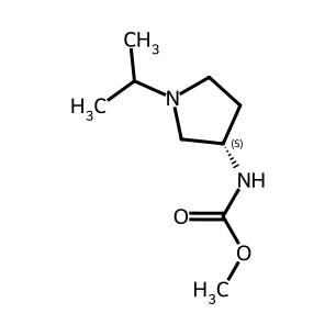 COC(=O)N[C@H]1CCN(C(C)C)C1